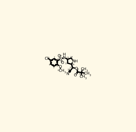 COc1ccc(Cl)cc1S(=O)(=O)NC1CNC(C(C#N)OC(=O)C(C)(C)C)C1